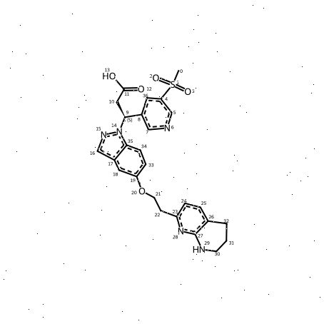 CS(=O)(=O)c1cncc([C@H](CC(=O)O)n2ncc3cc(OCCc4ccc5c(n4)NCCC5)ccc32)c1